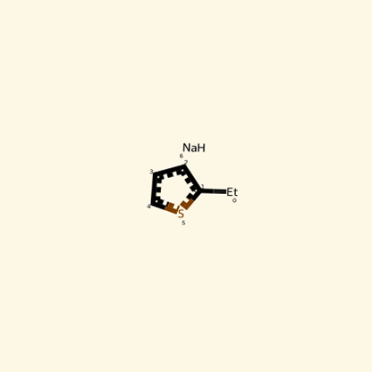 CCc1cccs1.[NaH]